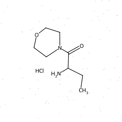 CCC(N)C(=O)N1CCOCC1.Cl